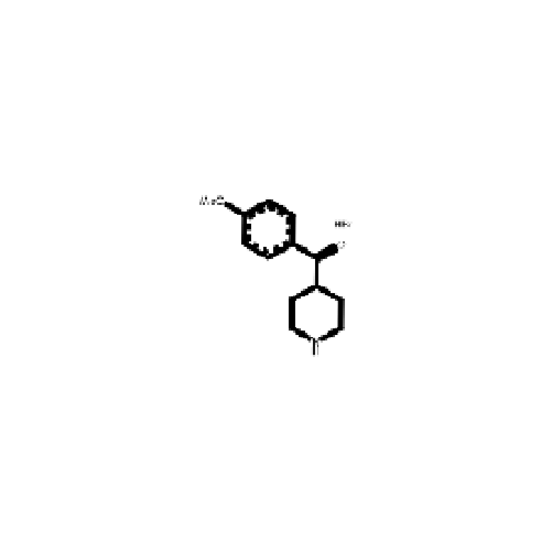 Br.COc1ccc(C(=O)C2CCNCC2)cc1